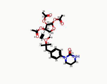 C#C[C@@]1(OC(C)=O)[C@@H](COC([CH2])([CH2])Cc2ccc(N3CCCNC3=O)cc2)OC(OC(C)=O)[C@@H]1OC(C)=O